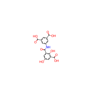 O=C(O)c1cc(NC(=O)c2cc(O)cc(C(=O)O)c2O)cc(C(=O)O)c1